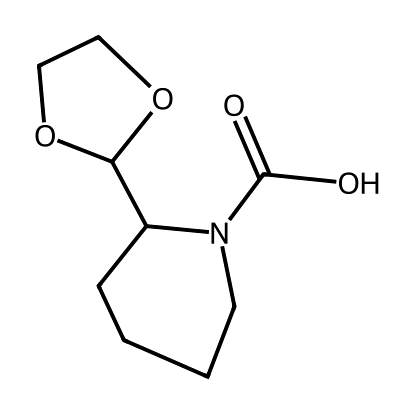 O=C(O)N1CCCCC1C1OCCO1